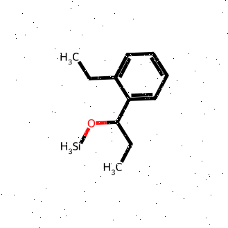 CCc1ccccc1C(CC)O[SiH3]